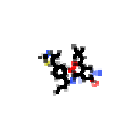 CCCC(NC(=O)C1CC(=O)NCC1C(=O)CC(C)(C)C)c1ccc(-c2scnc2C)cc1